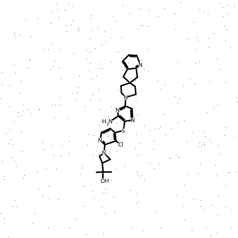 CC(C)(O)C1CN(c2nccc(Sc3ncc(N4CCC5(CC4)Cc4cccnc4C5)nc3N)c2Cl)C1